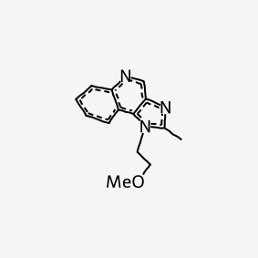 COCCn1c(C)nc2cnc3ccccc3c21